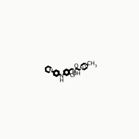 CN1CCN(CC(=O)N(O)Cc2ccc(Nc3ccc(N4CCCCC4)cc3)cc2Cl)CC1